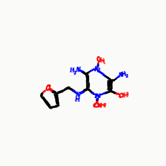 NC1=C(O)N(O)C(NCc2ccco2)=C(N)N1O